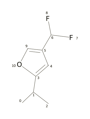 CC(C)c1cc(C(F)F)co1